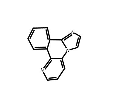 c1ccc2c(c1)c1ncccc1n1ccnc21